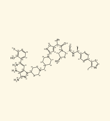 Cc1ncsc1-c1ccc([C@H](C)NC(=O)[C@@H]2C[C@@H](O)CN2C(=O)C(c2cc(N3CCC(CN4CCC(n5nc(N)c(N)c5/C=C(\N)c5cccc(F)c5O)CC4)CC3)no2)C(C)C)cc1